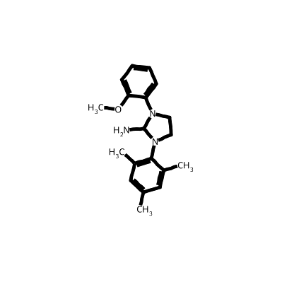 COc1ccccc1N1CCN(c2c(C)cc(C)cc2C)C1N